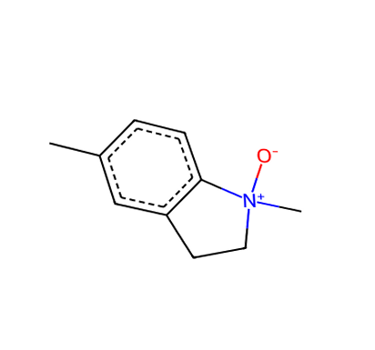 Cc1ccc2c(c1)CC[N+]2(C)[O-]